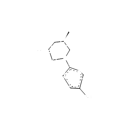 C[C@@H]1C[C@@H](C)CN(c2ccc(N)cn2)C1